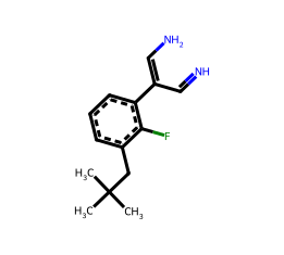 CC(C)(C)Cc1cccc(/C(C=N)=C/N)c1F